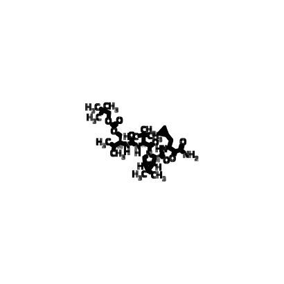 CC(C)[C@@H](COC(=O)OCC(C)(C)C)NC(=O)N[C@H](C(=O)N1C[C@H]2[C@@H]([C@H]1C(=O)NC(CC1CC1)C(=O)C(N)=O)C2(C)C)C(C)(C)C